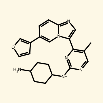 Cc1cnc(NC2CCC(N)CC2)nc1-c1cnc2ccc(-c3ccoc3)cn12